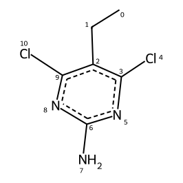 CCc1c(Cl)nc(N)nc1Cl